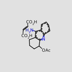 CC(=O)OC1CCCc2c1nc1ccccc1c2N.O=C(O)C=CC(=O)O